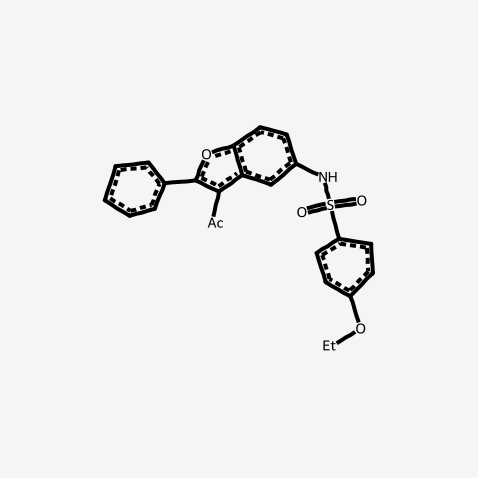 CCOc1ccc(S(=O)(=O)Nc2ccc3oc(-c4ccccc4)c(C(C)=O)c3c2)cc1